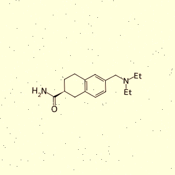 CCN(CC)Cc1ccc2c(c1)CC[C@H](C(N)=O)C2